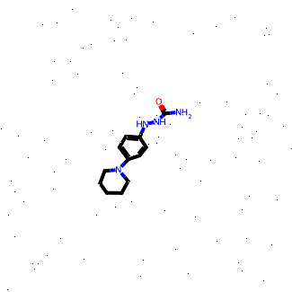 NC(=O)NNc1ccc(N2CCCCC2)cc1